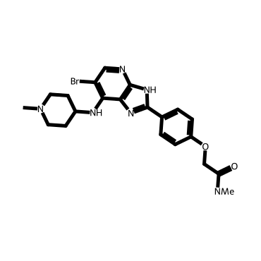 CNC(=O)COc1ccc(-c2nc3c(NC4CCN(C)CC4)c(Br)cnc3[nH]2)cc1